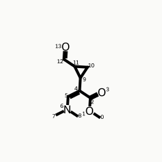 COC(=O)C(=CN(C)C)C1CC1C=O